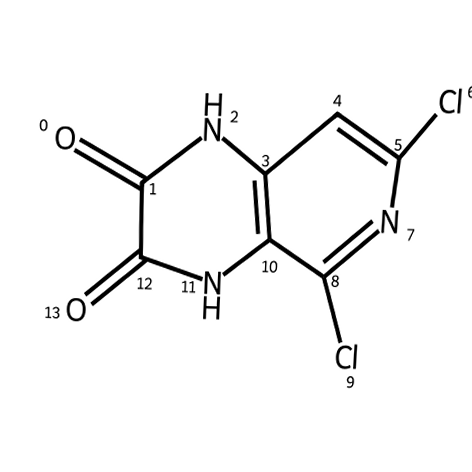 O=c1[nH]c2cc(Cl)nc(Cl)c2[nH]c1=O